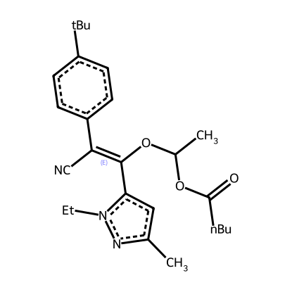 CCCCC(=O)OC(C)O/C(=C(/C#N)c1ccc(C(C)(C)C)cc1)c1cc(C)nn1CC